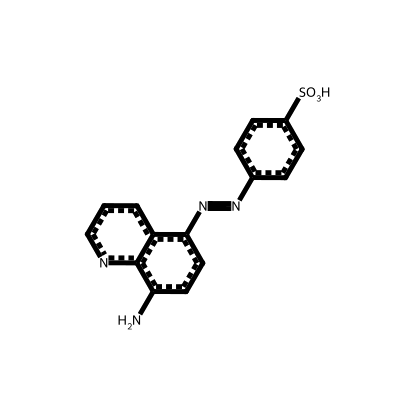 Nc1ccc(N=Nc2ccc(S(=O)(=O)O)cc2)c2cccnc12